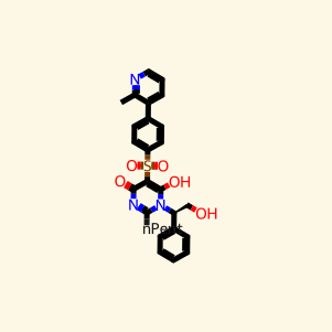 CCCCCc1nc(=O)c(S(=O)(=O)c2ccc(-c3cccnc3C)cc2)c(O)n1[C@@H](CO)c1ccccc1